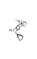 CC1CC(CC(C)(C)C)CCN1CC1CCCCC1